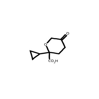 O=C1CCC(C(=O)O)(C2CC2)OC1